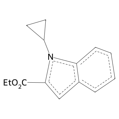 CCOC(=O)c1cc2ccccc2n1C1CC1